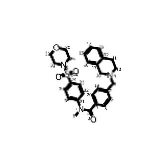 CN(C(=O)c1ccc(CN2CCc3ccccc3C2)cc1)c1ccc(S(=O)(=O)N2CCOCC2)cc1